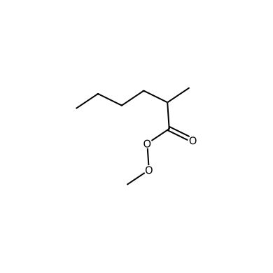 CCCCC(C)C(=O)OOC